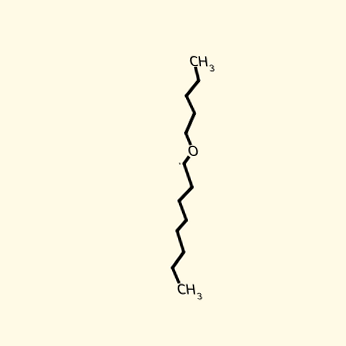 CCCCCCC[CH]OCCCCC